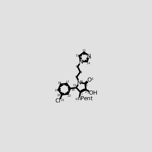 CCCCCC1=C(O)C(=O)N(CCCn2ccnc2)C1c1cccc(Cl)c1